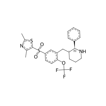 Cc1nc(C)c(S(=O)(=O)c2ccc(OC(F)(F)F)c(C[C]3CCCN[C@@H]3c3ccccc3)c2)s1